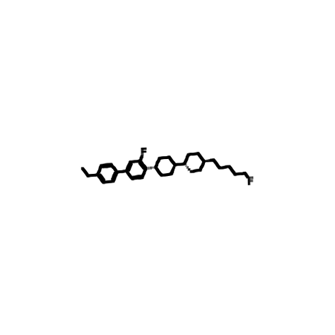 CCc1ccc(-c2ccc([C@H]3CC[C@H]([C@H]4CC[C@H](CCCCCF)CC4)CC3)c(F)c2)cc1